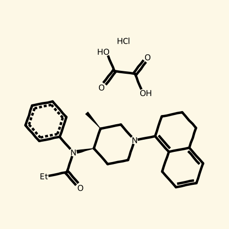 CCC(=O)N(c1ccccc1)[C@@H]1CCN(C2=C3CC=CC=C3CCC2)C[C@@H]1C.Cl.O=C(O)C(=O)O